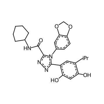 CC(C)c1cc(-c2nnc(C(=O)NC3CCCCC3)n2-c2ccc3c(c2)OCO3)c(O)cc1O